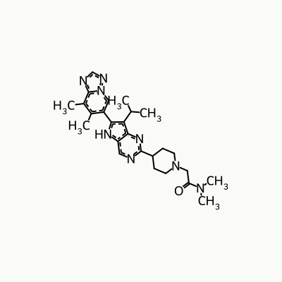 Cc1c(-c2[nH]c3cnc(C4CCN(CC(=O)N(C)C)CC4)nc3c2C(C)C)cn2ncnc2c1C